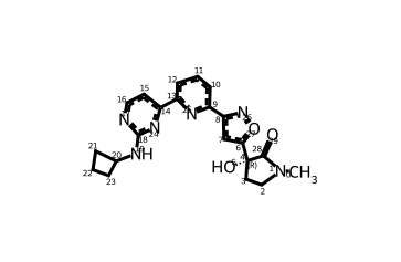 CN1CC[C@@](O)(c2cc(-c3cccc(-c4ccnc(NC5CCC5)n4)n3)no2)C1=O